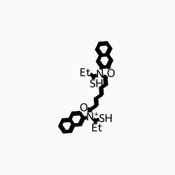 CCC(S)N1C(=CC=CC=Cc2oc3cc4ccccc4cc3[n+]2C(S)CC)Oc2cc3ccccc3cc21